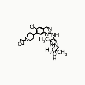 Cc1nn(CC(C)(C)O)cc1Nc1ncc2cc(Cl)c(C3CCN(C4COC4)CC3)cc2n1